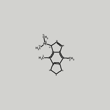 Cc1c2c(c(C)c3c1CCC3)[CH]([Hf]([CH3])[CH3])C=C2